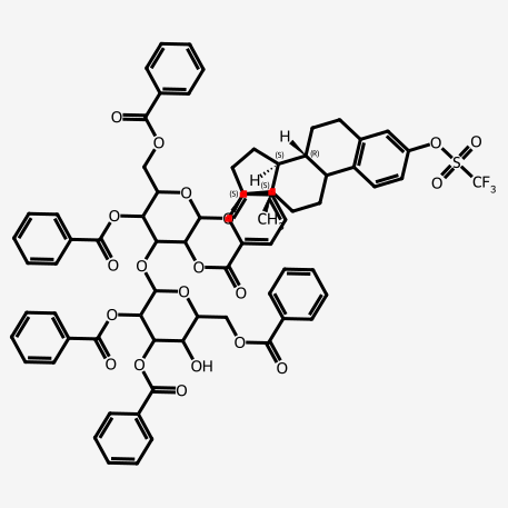 C[C@]12CCC3c4ccc(OS(=O)(=O)C(F)(F)F)cc4CC[C@H]3[C@@H]1CC[C@@H]2OC1OC(COC(=O)c2ccccc2)C(OC(=O)c2ccccc2)C(OC2OC(COC(=O)c3ccccc3)C(O)C(OC(=O)c3ccccc3)C2OC(=O)c2ccccc2)C1OC(=O)c1ccccc1